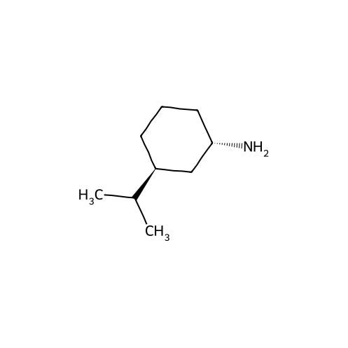 CC(C)[C@H]1CCC[C@H](N)C1